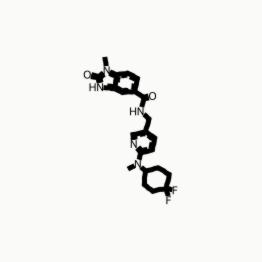 CN(c1ccc(CNC(=O)c2ccc3c(c2)[nH]c(=O)n3C)cn1)C1CCC(F)(F)CC1